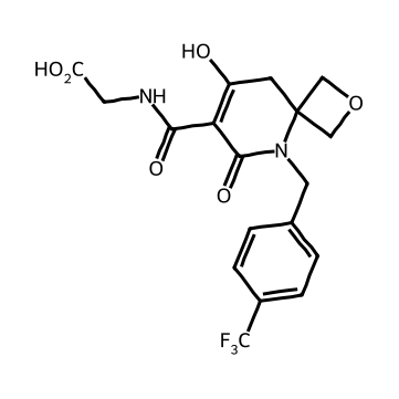 O=C(O)CNC(=O)C1=C(O)CC2(COC2)N(Cc2ccc(C(F)(F)F)cc2)C1=O